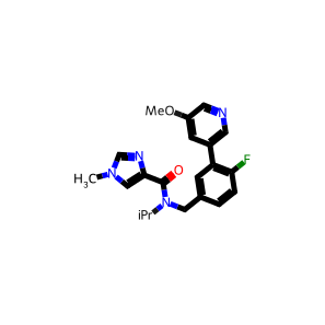 COc1cncc(-c2cc(CN(C(=O)c3cn(C)cn3)C(C)C)ccc2F)c1